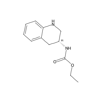 CCOC(=O)N[C@H]1CNc2ccccc2C1